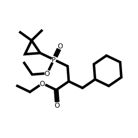 CCOC(=O)C(CC1CCCCC1)CP(=O)(OCC)C1CC1(C)C